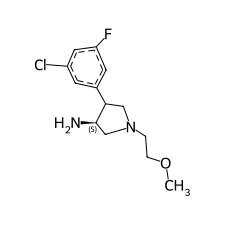 COCCN1CC(c2cc(F)cc(Cl)c2)[C@H](N)C1